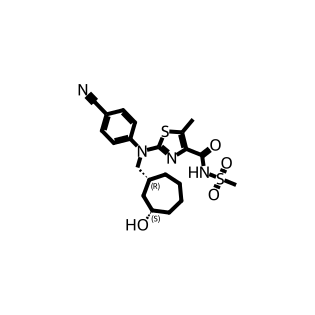 Cc1sc(N(C[C@@H]2CCCC[C@H](O)C2)c2ccc(C#N)cc2)nc1C(=O)NS(C)(=O)=O